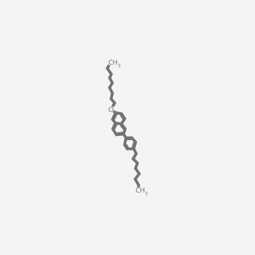 CCCCCCCCCOc1ccc2cc(-c3ccc(CCCCCCCC)cc3)ccc2c1